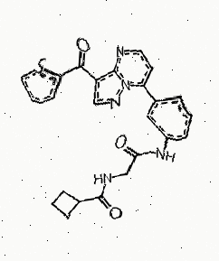 O=C(CNC(=O)C1CCC1)Nc1cccc(-c2ccnc3c(C(=O)c4cccs4)cnn23)c1